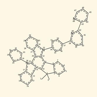 CC1(C)c2ccccc2-c2c1c1c3ccccc3n(-c3ccccc3)c1c1c3ccccc3n(-c3ccc(-c4cccc(-c5ccccn5)n4)cc3)c21